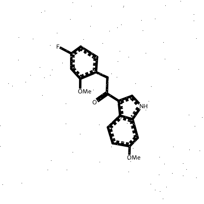 COc1ccc2c(C(=O)Cc3ccc(F)cc3OC)c[nH]c2c1